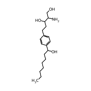 CCCCCCCC(O)c1ccc(CCC(O)C(N)CO)cc1